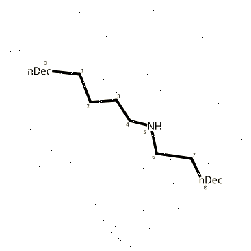 CCCCCCCCCCCCCCNCCCCCCCCCCCC